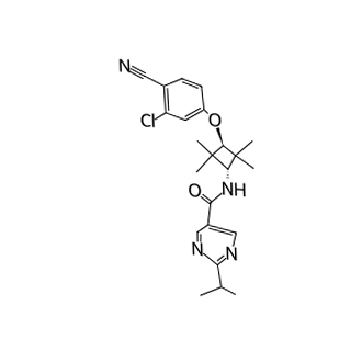 CC(C)c1ncc(C(=O)N[C@H]2C(C)(C)[C@H](Oc3ccc(C#N)c(Cl)c3)C2(C)C)cn1